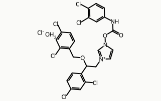 O.O=C(Nc1ccc(Cl)c(Cl)c1)On1cc[n+](CC(OCc2ccc(Cl)cc2Cl)c2ccc(Cl)cc2Cl)c1.[Cl-]